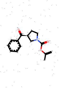 C=C(C)OC(=O)N1CC[C@H](C(=O)c2ccccc2)C1